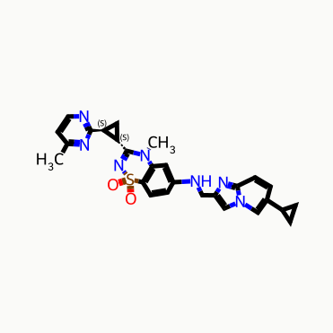 Cc1ccnc([C@H]2C[C@@H]2C2=NS(=O)(=O)c3ccc(NCc4cn5cc(C6CC6)ccc5n4)cc3N2C)n1